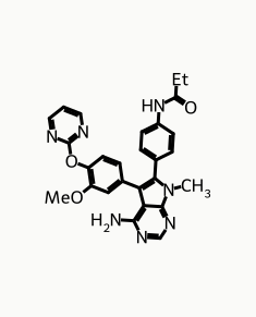 CCC(=O)Nc1ccc(-c2c(-c3ccc(Oc4ncccn4)c(OC)c3)c3c(N)ncnc3n2C)cc1